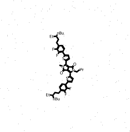 CCCCC(CC)CCc1ccc(-c2ccc(C3=C4C(=O)N(CC(C)C)C(c5ccc(-c6ccc(CCC(CC)CCCC)c(F)c6F)s5)=C4C(=O)N3C)s2)c(F)c1F